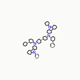 C1=CC(c2cccc(N(c3ccc(-c4ccc(N(c5cccc(-c6ccccc6)c5)c5ccc6c(c5)c5ccccc5n6C5=CCCC=C5)cc4)cc3)c3ccc4c(c3)c3ccccc3n4-c3ccccc3)c2)=CCC1